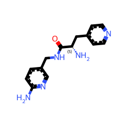 Nc1ccc(CNC(=O)[C@@H](N)Cc2ccncc2)cn1